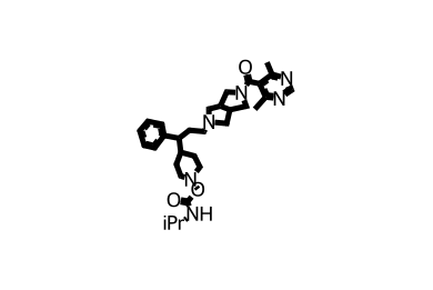 Cc1ncnc(C)c1C(=O)N1CC2CN(CCC(c3ccccc3)C3CCN(OC(=O)NC(C)C)CC3)CC2C1